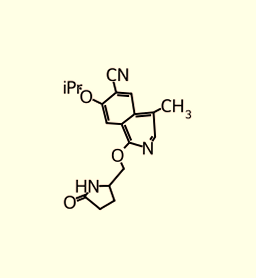 Cc1cnc(OCC2CCC(=O)N2)c2cc(OC(C)C)c(C#N)cc12